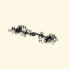 C[Si](C)(C)O[Si](C)(CCCOC(=O)/C(C#N)=C/C=C/N1CCN(/C=C/C=C(\C#N)C(=O)OCCC[Si](C)(O[Si](C)(C)C)O[Si](C)(C)C)CC1)O[Si](C)(C)C